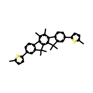 Cc1ccc(-c2ccc3c(c2)C(C)(C)c2c-3c(C)c(C)c3c2C(C)(C)c2cc(-c4ccc(C)s4)ccc2-3)s1